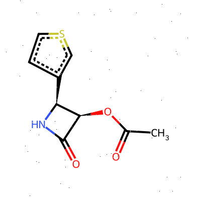 CC(=O)O[C@H]1C(=O)N[C@H]1c1ccsc1